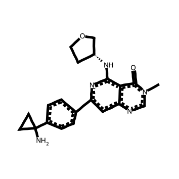 Cn1cnc2cc(-c3ccc(C4(N)CC4)cc3)nc(N[C@@H]3CCOC3)c2c1=O